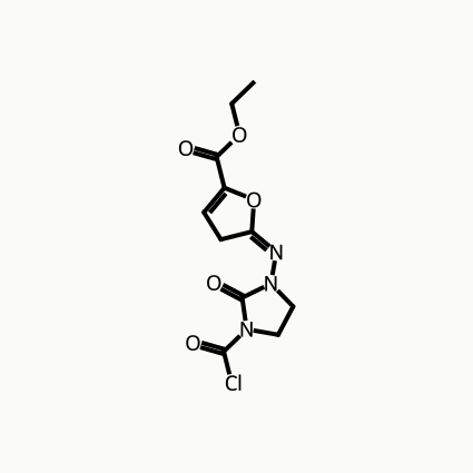 CCOC(=O)C1=CCC(=NN2CCN(C(=O)Cl)C2=O)O1